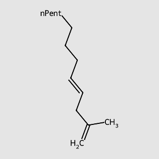 C=C(C)CC=CCCCCCCCC